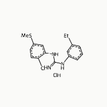 CCc1cccc(NC(=N)Nc2cc(SC)ccc2Cl)c1.Cl